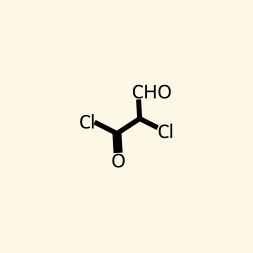 O=CC(Cl)C(=O)Cl